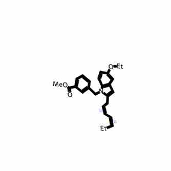 CC/C=C\C=C/Cc1cc2cc(OCC)ccc2n1Cc1cccc(C(=O)OC)c1